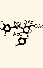 CC(=O)OCC1O[C@H](Sc2ccc(F)cc2)C(OC(C)=O)C(n2cc(-c3cc(F)c(F)c(F)c3)nn2)[C@H]1OC(C)=O